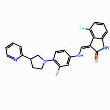 O=C1Nc2cccc(F)c2/C1=C/Nc1ccc(N2CCC(c3ccccn3)C2)c(F)c1